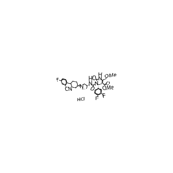 COCC1=C(C(=O)OC)[C@H](c2ccc(F)c(F)c2)N(C(=O)N[C@@H]2CCN(C3CCC(c4ccc(F)cc4C#N)CC3)C2)C(=O)N1.Cl